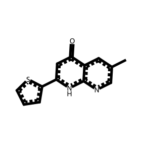 Cc1cnc2[nH]c(-c3cccs3)cc(=O)c2c1